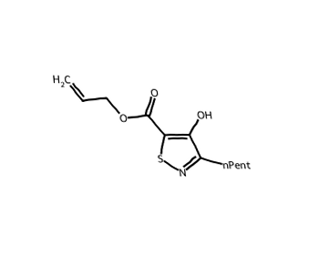 C=CCOC(=O)c1snc(CCCCC)c1O